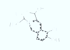 CC(C)c1cc2c(O)c(O)ccc2c[n+]1C(C)C